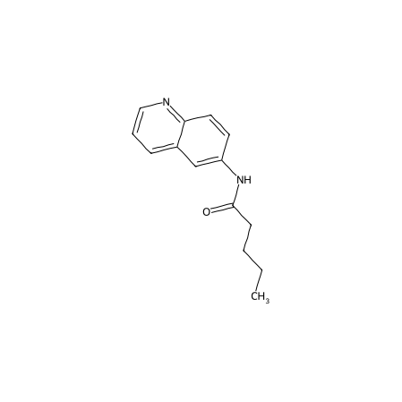 CCCCC(=O)Nc1ccc2ncccc2c1